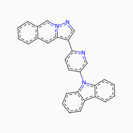 c1ccc2cn3ncc(-c4ccc(-n5c6ccccc6c6ccccc65)cn4)c3cc2c1